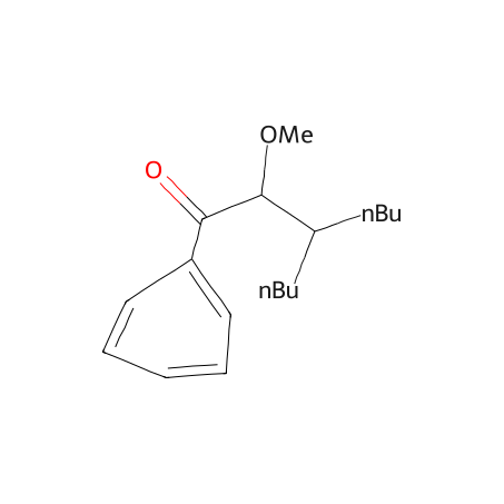 CCCCC(CCCC)C(OC)C(=O)c1ccccc1